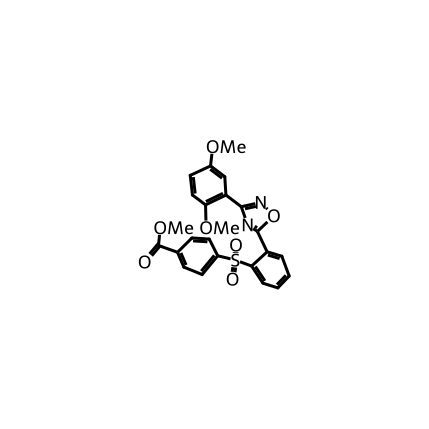 COC(=O)c1ccc(S(=O)(=O)c2ccccc2-c2nc(-c3cc(OC)ccc3OC)no2)cc1